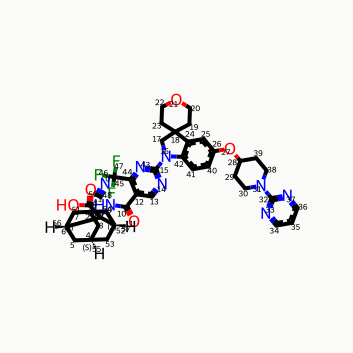 N#C[C@]12C[C@@H]3C[C@H](C1)[C@@](NC(=O)c1cnc(N4CC5(CCOCC5)c5cc(OC6CCN(c7ncccn7)CC6)ccc54)nc1C(F)(F)F)(C(=O)O)[C@@H](C3)C2